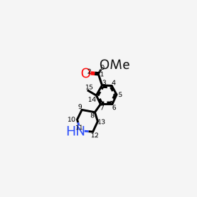 COC(=O)c1cccc(C2CCNCC2)c1C